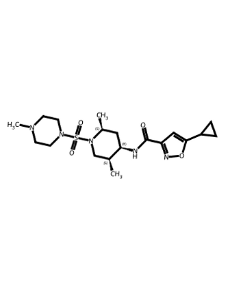 C[C@H]1CN(S(=O)(=O)N2CCN(C)CC2)[C@@H](C)C[C@H]1NC(=O)c1cc(C2CC2)on1